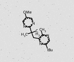 COc1cnc(C(C)(C)Cc2nc(C(C)(C)C)cnc2C)nc1